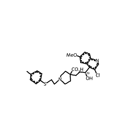 COc1ccc2ncc(Cl)c([C@@H](O)CCC3(C(=O)O)CCN(CCSc4ccc(C)cc4)CC3)c2c1